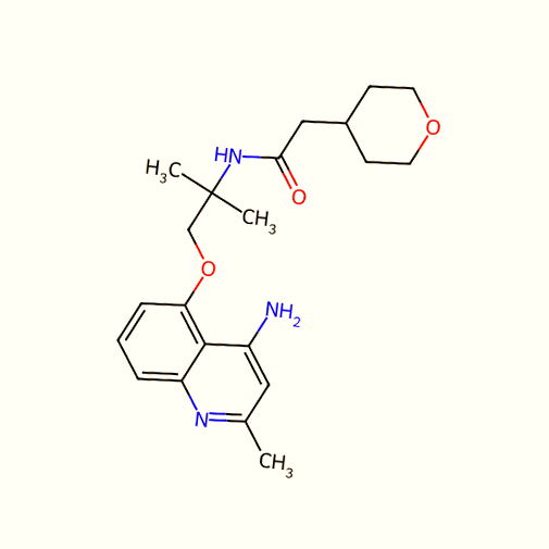 Cc1cc(N)c2c(OCC(C)(C)NC(=O)CC3CCOCC3)cccc2n1